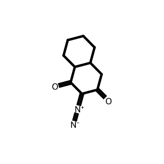 [N-]=[N+]=C1C(=O)CC2CCCCC2C1=O